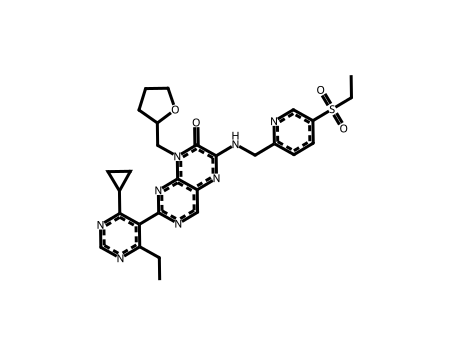 CCc1ncnc(C2CC2)c1-c1ncc2nc(NCc3ccc(S(=O)(=O)CC)cn3)c(=O)n(CC3CCCO3)c2n1